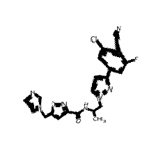 CC(Cn1ccc(-c2cc(F)c(C#N)c(Cl)c2)n1)NC(=O)c1cc(Cn2ccnc2)on1